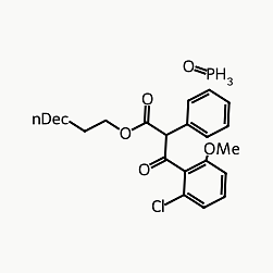 CCCCCCCCCCCCOC(=O)C(C(=O)c1c(Cl)cccc1OC)c1ccccc1.O=[PH3]